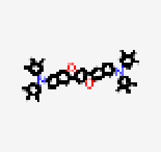 Cc1cc(N(c2cc(C)c(C)c(C)c2)c2ccc3cc4c(cc3c2)oc2cc3c(cc24)oc2cc4cc(N(c5cc(C)c(C)c(C)c5)c5cc(C)c(C)c(C)c5)ccc4cc23)cc(C)c1C